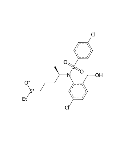 CC[S+]([O-])CCC[C@@H](C)N(c1cc(Cl)ccc1CO)S(=O)(=O)c1ccc(Cl)cc1